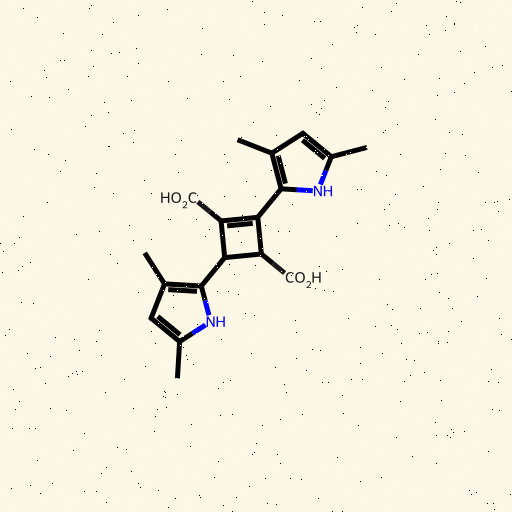 Cc1cc(C)c(C2=C(C(=O)O)C(c3[nH]c(C)cc3C)C2C(=O)O)[nH]1